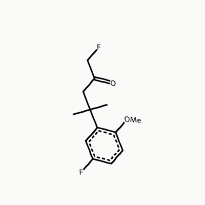 COc1ccc(F)cc1C(C)(C)CC(=O)CF